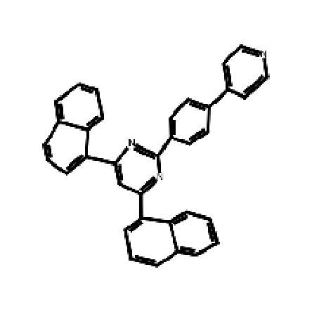 c1ccc2c(-c3cc(-c4cccc5ccccc45)nc(-c4ccc(-c5ccncc5)cc4)n3)cccc2c1